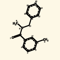 Cc1cccc(C(=O)N(C)Cc2ccncc2)c1